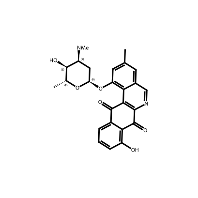 CN[C@H]1C[C@@H](Oc2cc(C)cc3cnc4c(c23)C(=O)c2cccc(O)c2C4=O)O[C@H](C)[C@H]1O